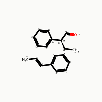 CC=Cc1ccccc1.CC[C@H](C=O)c1ccccc1